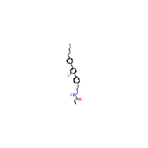 C=CC(=O)NCCCc1ccc(-c2ccc(-c3ccc(CCCCC)cc3)cc2F)cc1